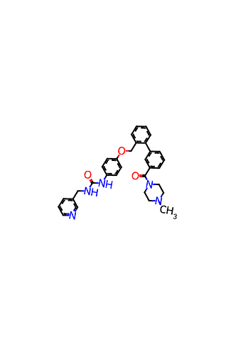 CN1CCN(C(=O)c2cccc(-c3ccccc3COc3ccc(NC(=O)NCc4cccnc4)cc3)c2)CC1